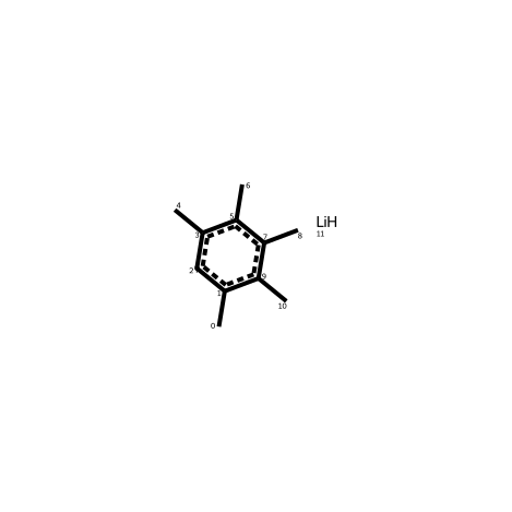 Cc1[c]c(C)c(C)c(C)c1C.[LiH]